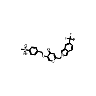 CS(=N)(=O)c1ccc(COc2coc(Cn3cc4ccc(C(F)(F)F)cc4c3)cc2=O)cc1